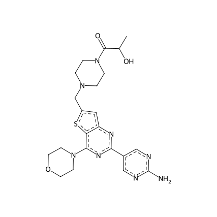 CC(O)C(=O)N1CCN(Cc2cc3nc(-c4cnc(N)nc4)nc(N4CCOCC4)c3s2)CC1